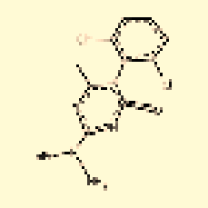 CCCN(N)c1nc(C)n(-c2c(Cl)cccc2Cl)c(=O)n1